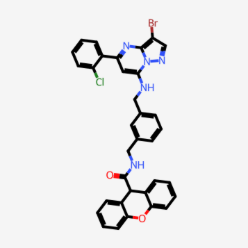 O=C(NCc1cccc(CNc2cc(-c3ccccc3Cl)nc3c(Br)cnn23)c1)C1c2ccccc2Oc2ccccc21